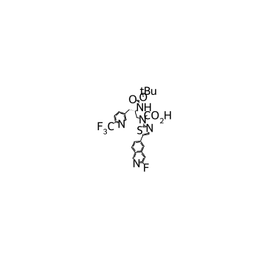 CC(C)(C)OC(=O)N[C@@H](Cc1ccc(C(F)(F)F)nc1)CN(C(=O)O)c1ncc(-c2ccc3cnc(F)cc3c2)s1